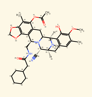 COc1c(C)cc2c(c1O)[C@@H]1C3Cc4c(OC(C)=O)c(C)c5c(c4[C@H](CNC(=O)CC4CCCCC4)N3[C@@H](C#N)[C@H](C2)N1C)OCO5